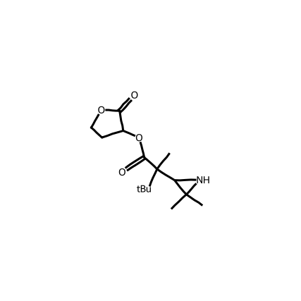 CC1(C)NC1C(C)(C(=O)OC1CCOC1=O)C(C)(C)C